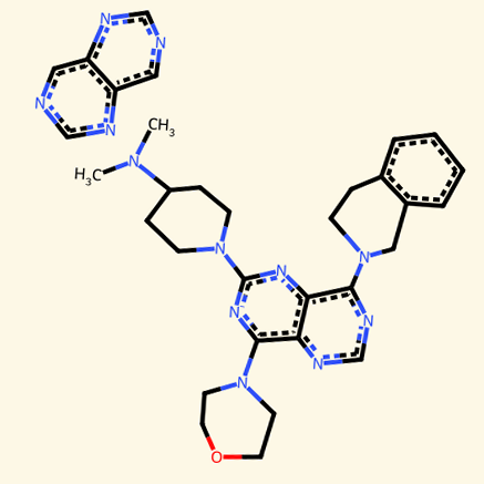 CN(C)C1CCN(c2nc(N3CCOCC3)c3ncnc(N4CCc5ccccc5C4)c3n2)CC1.c1ncc2ncncc2n1